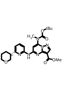 COC(=O)c1cnn2c(N(C)C(=O)OC(C)(C)C)cc(Nc3cccc([C@H]4CCCOC4)n3)nc12